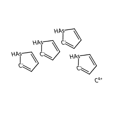 [C+4].[C-]1=CC=C[AsH]1.[C-]1=CC=C[AsH]1.[C-]1=CC=C[AsH]1.[C-]1=CC=C[AsH]1